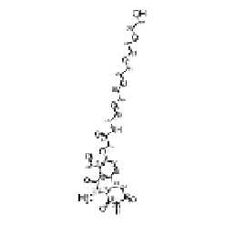 CN(C(=O)c1cccc(OCC(=O)NCCOCCOCCOCCOCCO)c1C=O)C1CCC(=O)NC1=O